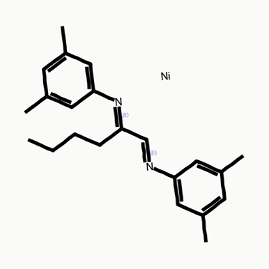 CCCCC(/C=N/c1cc(C)cc(C)c1)=N\c1cc(C)cc(C)c1.[Ni]